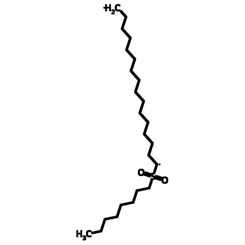 [CH2]CCCCCCCCCCCCCC[CH]S(=O)(=O)CCCCCCCC